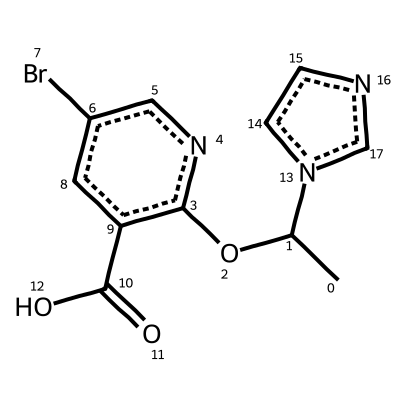 CC(Oc1ncc(Br)cc1C(=O)O)n1ccnc1